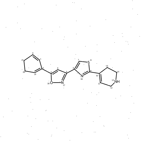 C1=CC(c2cc(-c3csc(C4=CCNCC4)n3)no2)=CCC1